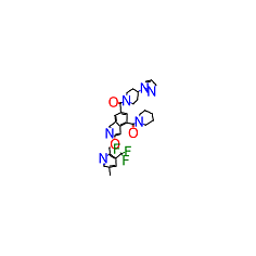 Cc1cnc(COc2cc3c(C(=O)N4CCCCC4)cc(C(=O)N4CCC(n5cccn5)CC4)cc3cn2)c(C(F)(F)F)c1